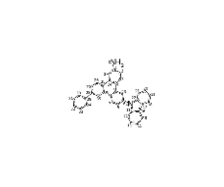 Nc1ccc(-c2cccc(-n3c4ccccc4c4ccccc43)c2)c(-c2ccc(-c3ccccc3)cc2)c1